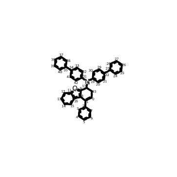 C1=C(c2ccccc2)c2c(oc3ccccc23)C(N(c2ccc(-c3ccccc3)cc2)c2ccc(-c3ccccc3)cc2)C1